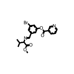 COC(=O)C(N=Cc1cc(Br)cc(OC(=O)c2cccnc2)c1)C(C)C